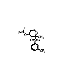 CC1(S(=O)(=O)c2cccc(C(F)(F)F)c2)CC(OC(F)F)CCO1